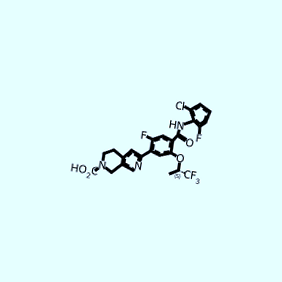 C[C@H](Oc1cc(-c2cc3c(cn2)CN(C(=O)O)CC3)c(F)cc1C(=O)Nc1c(F)cccc1Cl)C(F)(F)F